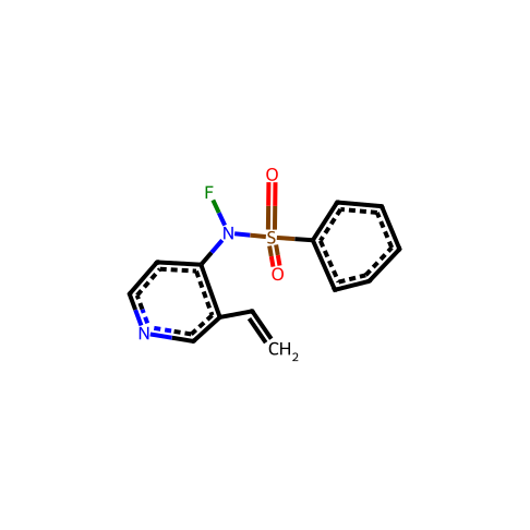 C=Cc1cnccc1N(F)S(=O)(=O)c1ccccc1